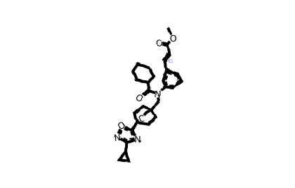 COC(=O)/C=C/c1cccc(N(CC23CCC(c4nc(C5CC5)no4)(CC2)CC3)C(=O)C2CCCCC2)c1